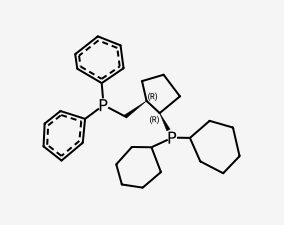 c1ccc(P(C[C@H]2CCC[C@H]2P(C2CCCCC2)C2CCCCC2)c2ccccc2)cc1